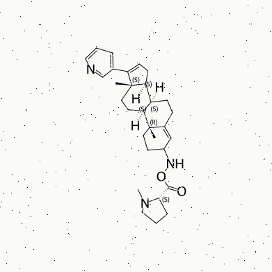 CN1CCC[C@H]1C(=O)ONC1C=C2CC[C@H]3[C@H](CC[C@]4(C)C(c5cccnc5)=CC[C@@H]34)[C@@]2(C)CC1